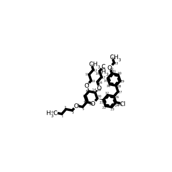 CCCCOCC1=C[C@H](OCCCC)[C@@H](OCCCC)[C@H](c2ccc(Cl)c(Cc3ccc(OCC)cc3)c2)O1